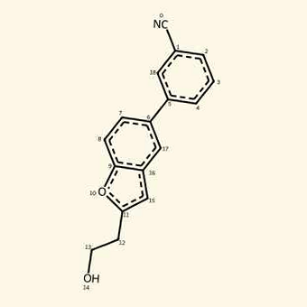 N#Cc1cccc(-c2ccc3oc(CCO)cc3c2)c1